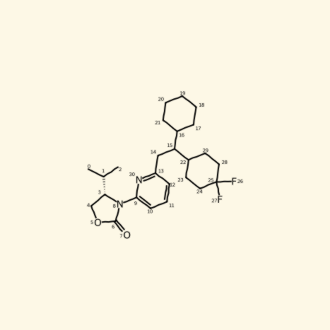 CC(C)[C@H]1COC(=O)N1c1cccc(CC(C2CCCCC2)C2CCC(F)(F)CC2)n1